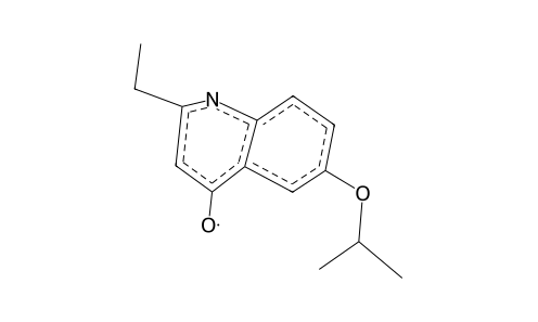 CCc1cc([O])c2cc(OC(C)C)ccc2n1